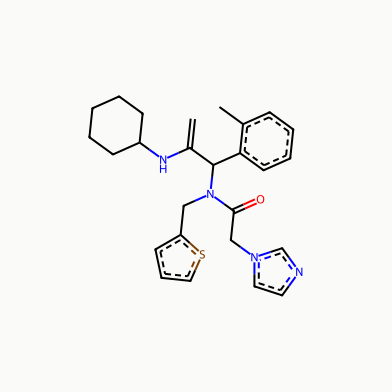 C=C(NC1CCCCC1)C(c1ccccc1C)N(Cc1cccs1)C(=O)Cn1ccnc1